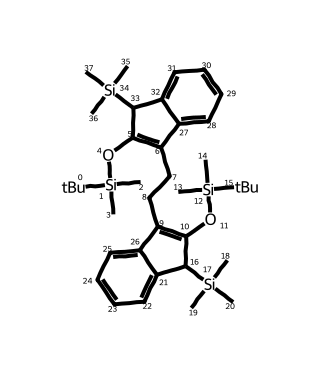 CC(C)(C)[Si](C)(C)OC1=C(CCC2=C(O[Si](C)(C)C(C)(C)C)C([Si](C)(C)C)c3ccccc32)c2ccccc2C1[Si](C)(C)C